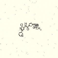 CS(=O)(=O)N[C@@H]1C=C[C@H](C(=O)Nc2cn(-c3cccnc3)nc2Cl)C1